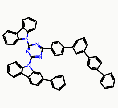 c1ccc(-c2ccc(-c3cccc(-c4ccc(-c5nc(-n6c7ccccc7c7ccccc76)nc(-n6c7ccccc7c7ccc(-c8ccccc8)cc76)n5)cc4)c3)cc2)cc1